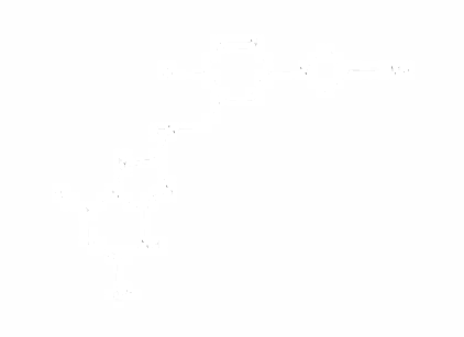 CCCc1cc(=O)n2nc(NCc3cc(N4CC(OC)C4)ncc3Cl)nc2[nH]1